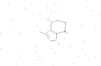 CC1CCC(=O)c2c1c(C(=O)O)nn2C